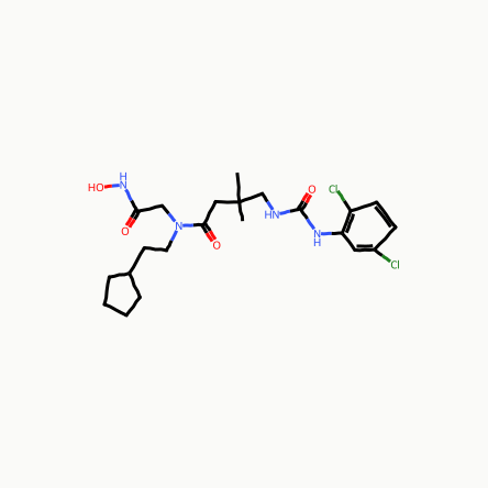 CC(C)(CNC(=O)Nc1cc(Cl)ccc1Cl)CC(=O)N(CCC1CCCC1)CC(=O)NO